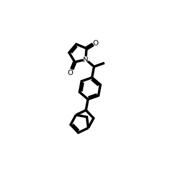 CC(c1ccc(C2CC3C=CC2C3)cc1)N1C(=O)C=CC1=O